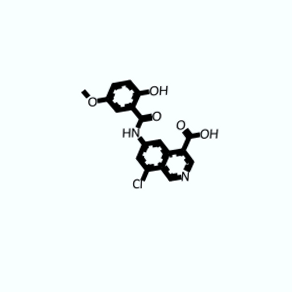 COc1ccc(O)c(C(=O)Nc2cc(Cl)c3cncc(C(=O)O)c3c2)c1